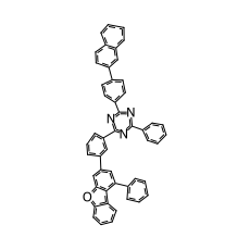 c1ccc(-c2nc(-c3ccc(-c4ccc5ccccc5c4)cc3)nc(-c3cccc(-c4cc(-c5ccccc5)c5c(c4)oc4ccccc45)c3)n2)cc1